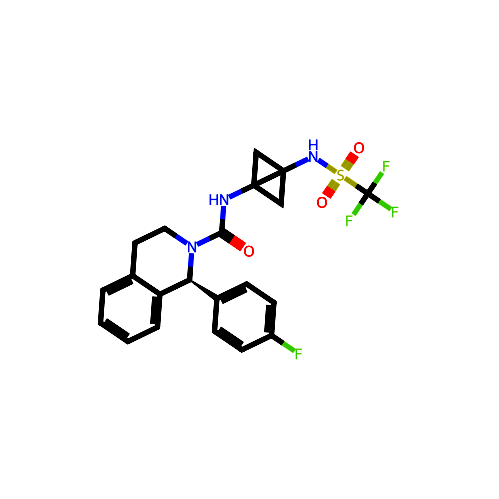 O=C(NC12CC1(NS(=O)(=O)C(F)(F)F)C2)N1CCc2ccccc2[C@@H]1c1ccc(F)cc1